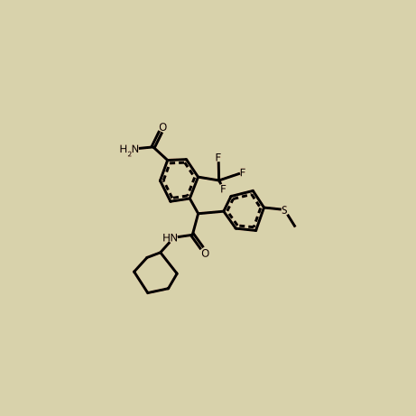 CSc1ccc(C(C(=O)NC2CCCCC2)c2ccc(C(N)=O)cc2C(F)(F)F)cc1